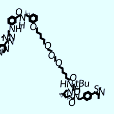 Cc1ncsc1-c1ccc(CNC(=O)[C@@H]2C[C@@H](C)CN2C(=O)[C@@H](NC(=O)CCCCCOCCOCCOCCCCCCOc2cccc([C@@H](C)NC(=O)c3cccc(NCc4nnc(-c5ccncn5)n4C)c3)c2)C(C)(C)C)cc1